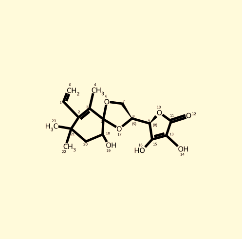 C=CC1=C(C)C2(OC[C@@H]([C@H]3OC(=O)C(O)=C3O)O2)C(O)CC1(C)C